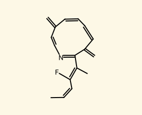 C=c1ccccc(=C)c(/C(C)=C(F)/C=C\C)ncc1